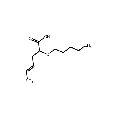 CC=CCC(OCCCCC)C(=O)O